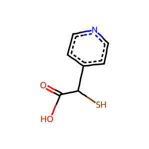 O=C(O)C(S)c1ccncc1